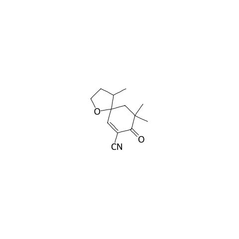 CC1CCOC12C=C(C#N)C(=O)C(C)(C)C2